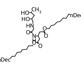 CCCCCCCCCCCCCCCCCCOC(=O)CC(CC(=O)OCCCCCCCCCCCCCCCCCC)NC(=O)CNCC(O)CC(C)O